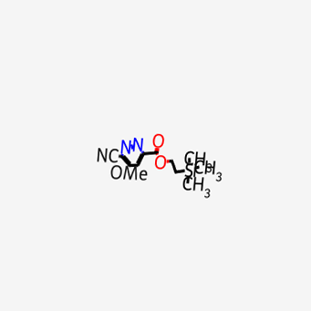 COc1cc(C#N)nnc1C(=O)OCC[Si](C)(C)C